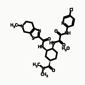 CN1CCc2nc(C(=O)N[C@@H]3C[C@@H](C(=O)N(C)C)CC[C@@H]3NC(=O)C(=O)Nc3ccc(Cl)cn3)sc2C1.O